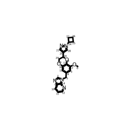 COc1cc(Cn2cnc3cccnc32)cc2c1OC(c1cnn(C3CCC3)c1)CO2